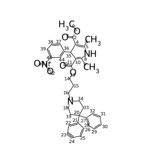 COC(=O)C1=C(C)NC(C)=C(C(=O)OCCCN2CCC(c3cc#ccc3)(c3ccccc3)CC2)C1c1cccc([N+](=O)[O-])c1